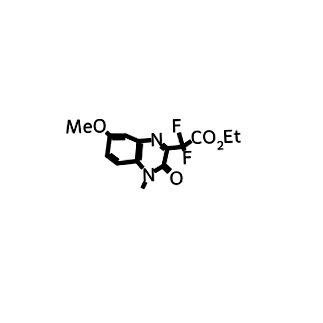 CCOC(=O)C(F)(F)c1nc2cc(OC)ccc2n(C)c1=O